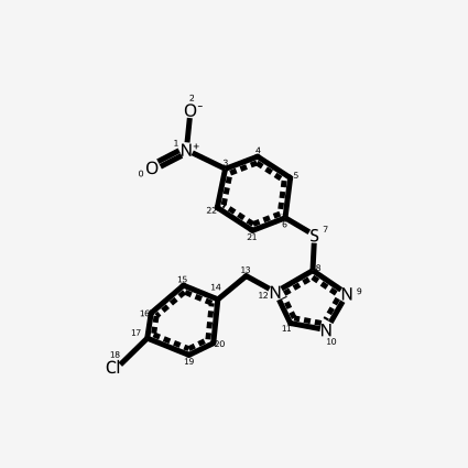 O=[N+]([O-])c1ccc(Sc2nncn2Cc2ccc(Cl)cc2)cc1